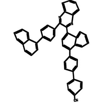 N#Cc1ccc(-c2ccc(-c3ccc(-c4nc5ccccc5nc4-c4ccc(-c5cccc6ccccc56)cc4)c4ccccc34)cc2)cc1